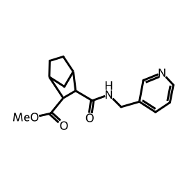 COC(=O)C1C2CCC(C2)C1C(=O)NCc1cccnc1